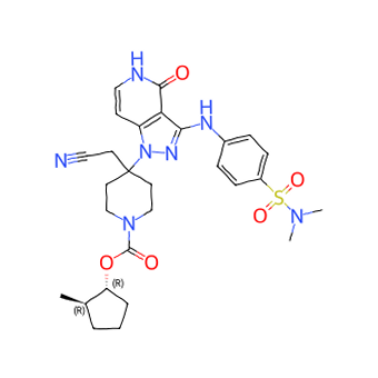 C[C@@H]1CCC[C@H]1OC(=O)N1CCC(CC#N)(n2nc(Nc3ccc(S(=O)(=O)N(C)C)cc3)c3c(=O)[nH]ccc32)CC1